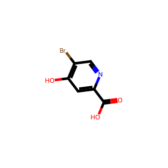 O=C(O)c1cc(O)c(Br)cn1